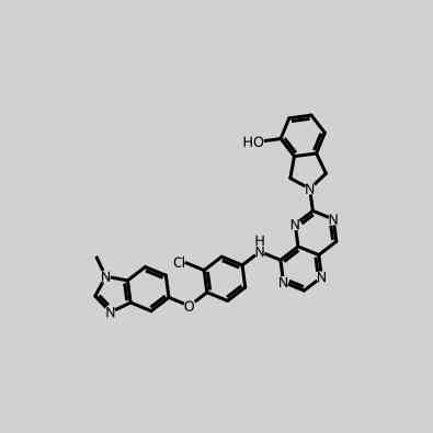 Cn1cnc2cc(Oc3ccc(Nc4ncnc5cnc(N6Cc7cccc(O)c7C6)nc45)cc3Cl)ccc21